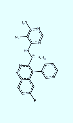 C[C@@H](Nc1ncnc(N)c1C#N)c1nnc2ccc(F)cc2c1-c1ccccc1